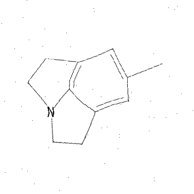 Cc1cc2c3c(c1)CCN3CC2